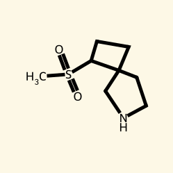 CS(=O)(=O)C1CCC12CCNC2